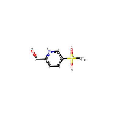 CS(=O)(=O)c1ccc(C=O)nc1